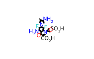 CS(=O)(=O)O.C[C@@H]1CN(c2c(F)c(N)c3c(=O)c(C(=O)O)cn(C4COC4)c3c2F)C[C@H]1N